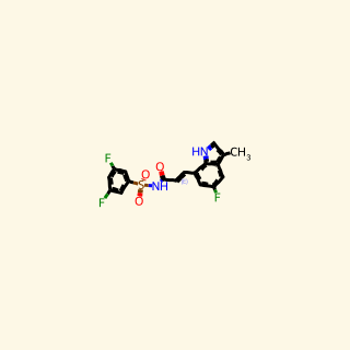 Cc1c[nH]c2c(/C=C/C(=O)NS(=O)(=O)c3cc(F)cc(F)c3)cc(F)cc12